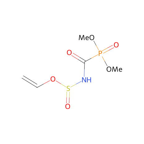 C=COS(=O)NC(=O)P(=O)(OC)OC